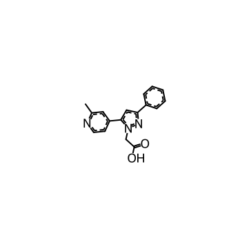 Cc1cc(-c2cc(-c3ccccc3)nn2CC(=O)O)ccn1